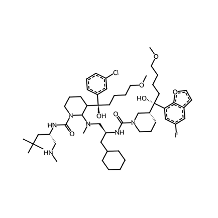 CNC[C@H](CC(C)(C)C)NC(=O)N1CCCC([C@@](O)(CCCCOC)c2cccc(Cl)c2)C1N(C)C[C@H](CC1CCCCC1)NC(=O)N1CCC[C@@H]([C@@](O)(CCCCOC)c2cc(F)cc3ccoc23)C1